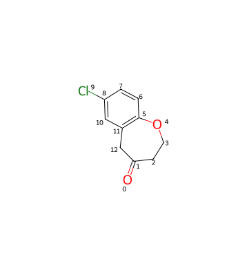 O=C1CCOc2ccc(Cl)cc2C1